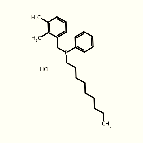 CCCCCCCCCP(Cc1cccc(C)c1C)c1ccccc1.Cl